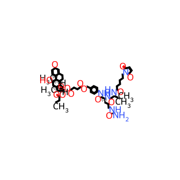 CCCC1O[C@@H]2CC3[C@@H]4CCC5=CC(=O)C=C[C@]5(C)C4[C@@H](O)C[C@]3(C)[C@]2(C(=O)COC(=O)CCC(=O)OCc2ccc(NC(=O)[C@H](CCCNC(N)=O)NC(=O)C(NC(=O)CCCCCN3C(=O)C=CC3=O)C(C)C)cc2)O1